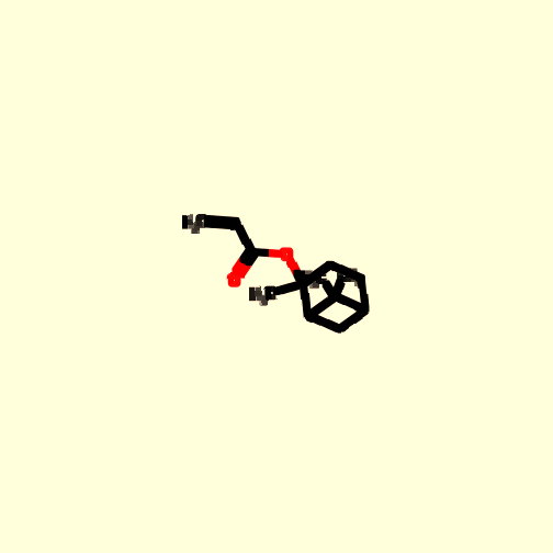 C=CC(=O)OC1(C)CCC2CC1C2(C)C